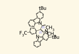 C=N/C=C(\C(=C/C)n1c2ccccc2c2cc(C(C)(C)C)ccc21)c1ccc(C(F)(F)F)cc1-n1c2ccccc2c2cc(C(C)(C)C)ccc21